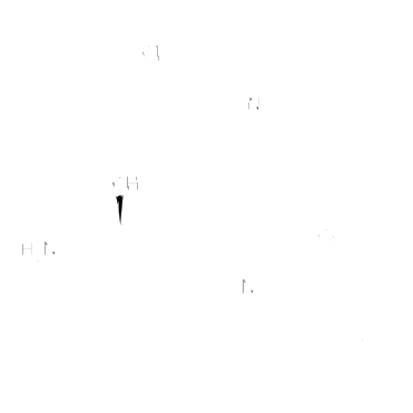 C[C@@](N)(c1cnc(OC2CC2)c2cnc(Cl)cc12)C1CCC1